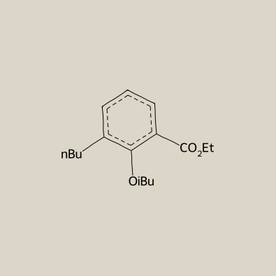 CCCCc1cccc(C(=O)OCC)c1OCC(C)C